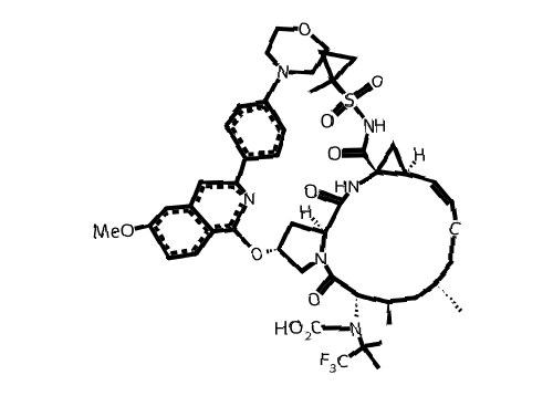 COc1ccc2c(O[C@@H]3C[C@H]4C(=O)N[C@]5(C(=O)NS(=O)(=O)C6(C)CC6)C[C@H]5/C=C\CC[C@H](C)C[C@@H](C)[C@H](N(C(=O)O)C(C)(C)C(F)(F)F)C(=O)N4C3)nc(-c3ccc(N4CCOCC4)cc3)cc2c1